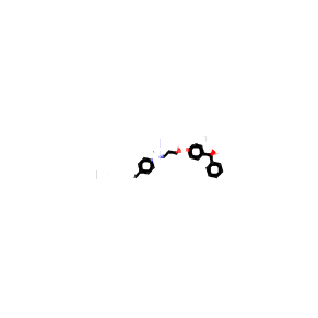 CCCc1cc(C(=O)c2ccccc2)ccc1OCCCNc1ccc(CC(=O)O)cc1